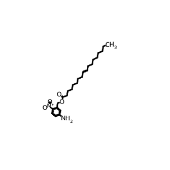 CCCCCCCCC=CCCCCCCCC(=O)OCc1cc(N)ccc1[N+](=O)[O-]